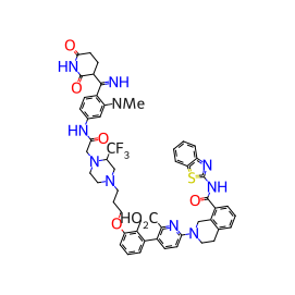 CNc1cc(NC(=O)CN2CCN(CCCOc3cccc(-c4ccc(N5CCc6cccc(C(=O)Nc7nc8ccccc8s7)c6C5)nc4C(=O)O)c3C)CC2C(F)(F)F)ccc1C(=N)C1CCC(=O)NC1=O